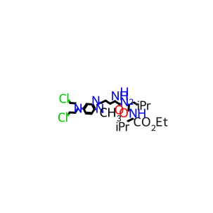 CCOC(=O)[C@H](CC(C)C)NC(=O)[C@H](CC(C)C)NC(=O)[C@@H](N)CCc1nc2cc(N(CCCl)CCCl)ccc2n1C